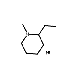 CCC1CCCCN1C.I